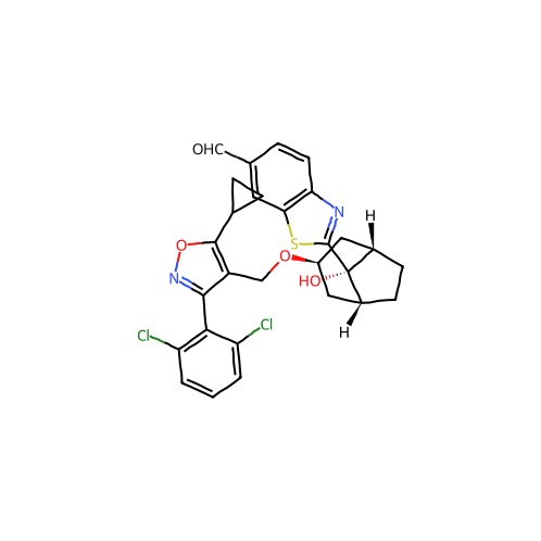 O=Cc1ccc2nc([C@]3(O)[C@@H]4CC[C@H]3C[C@H](OCc3c(-c5c(Cl)cccc5Cl)noc3C3CC3)C4)sc2c1